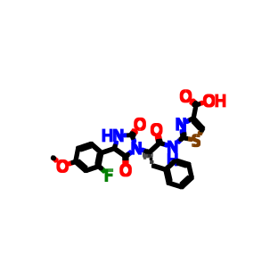 COc1ccc(C2NC(=O)N([C@@H](Cc3ccccc3)C(=O)Nc3nc(C(=O)O)cs3)C2=O)c(F)c1